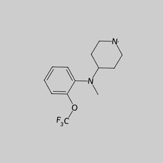 CN(c1ccccc1OC(F)(F)F)C1CC[N]CC1